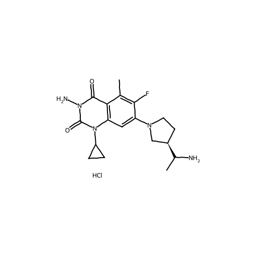 Cc1c(F)c(N2CC[C@@H](C(C)N)C2)cc2c1c(=O)n(N)c(=O)n2C1CC1.Cl